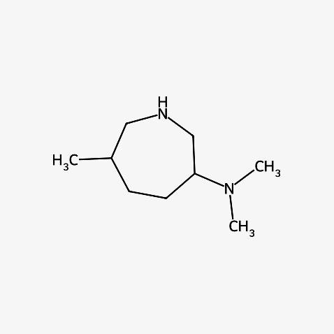 CC1CCC(N(C)C)CNC1